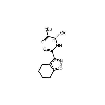 CC(C)(C)C(=O)[C@@H](NC(=O)c1noc2c1CCCC2)C(C)(C)C